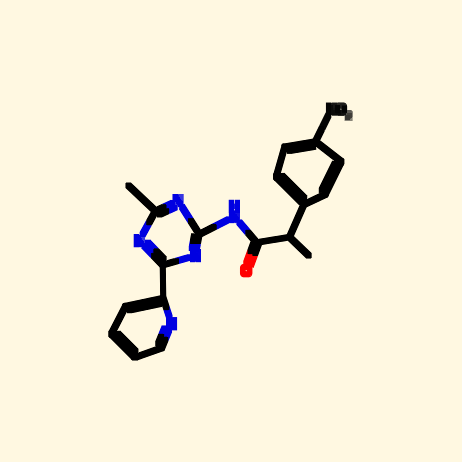 Cc1nc(NC(=O)C(C)c2ccc([N+](=O)[O-])cc2)nc(-c2ccccn2)n1